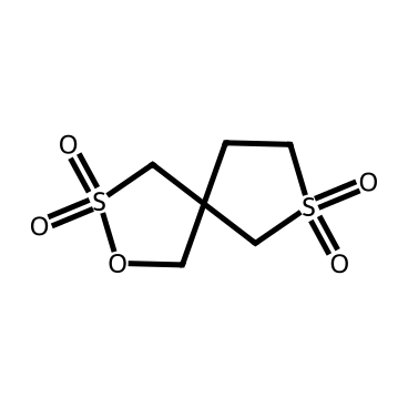 O=S1(=O)CCC2(COS(=O)(=O)C2)C1